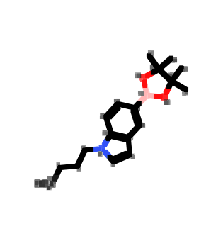 CCOC(=O)CCCn1ccc2cc(B3OC(C)(C)C(C)(C)O3)ccc21